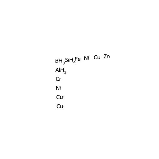 B.[AlH3].[Cr].[Cu].[Cu].[Cu].[Fe].[Ni].[Ni].[SiH4].[Zn]